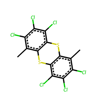 Cc1c(Cl)c(Cl)c(Cl)c2c1Sc1c(Cl)c(Cl)c(Cl)c(C)c1S2